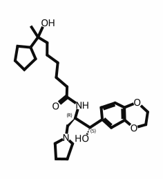 CC(O)(CCCCCC(=O)N[C@H](CN1CCCC1)[C@@H](O)c1ccc2c(c1)OCCO2)C1CCCC1